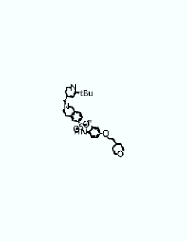 CC(C)(C)c1cc(CN2CCc3cc(S(=O)(=O)Nc4ccc(OCCC5CCOCC5)cc4F)ccc3C2)ccn1